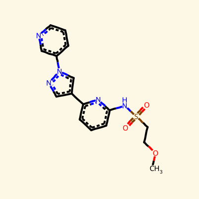 COCCS(=O)(=O)Nc1cccc(-c2cnn(-c3cccnc3)c2)n1